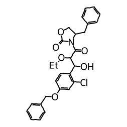 CCOC(C(=O)N1C(=O)OCC1Cc1ccccc1)C(O)c1ccc(OCc2ccccc2)cc1Cl